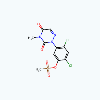 Cn1c(=O)cnn(-c2cc(OS(C)(=O)=O)c(Cl)cc2Cl)c1=O